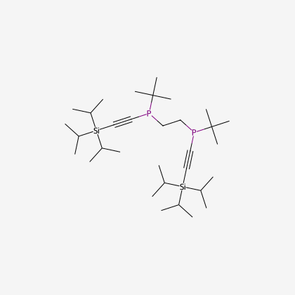 CC(C)[Si](C#CP(CCP(C#C[Si](C(C)C)(C(C)C)C(C)C)C(C)(C)C)C(C)(C)C)(C(C)C)C(C)C